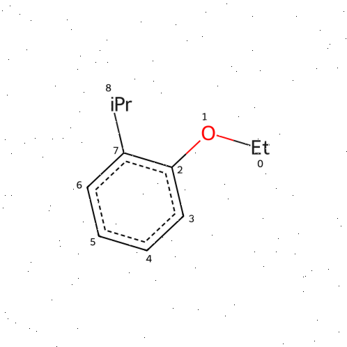 CCOc1ccccc1C(C)C